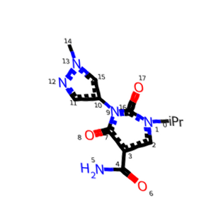 CC(C)n1cc(C(N)=O)c(=O)n(-c2cnn(C)c2)c1=O